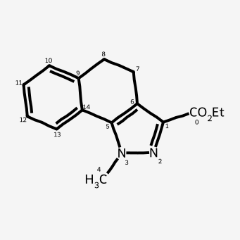 CCOC(=O)c1nn(C)c2c1CCc1ccccc1-2